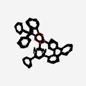 c1ccc(-c2cc(-c3cccc4c5ccccc5c5ccc(-c6ccc7c(c6)-c6ccccc6C7(c6ccccc6)c6ccccc6)cc5c34)nc(-c3ccccc3)n2)cc1